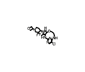 C/C(NC1CCN(C2COC2)CC1(F)F)=C1\Nc2ncc(Cl)c(n2)NCCCOC1=N